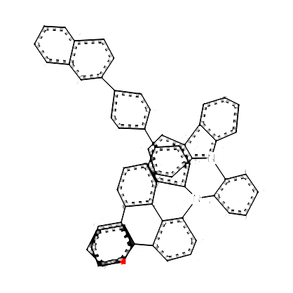 c1ccc(-c2ccccc2-c2c(-c3ccccc3)cccc2N(c2ccc(-c3ccc(-c4ccc5ccccc5c4)cc3)cc2)c2ccccc2-n2c3ccccc3c3ccccc32)cc1